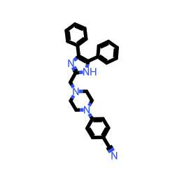 N#Cc1ccc(N2CCN(Cc3nc(-c4ccccc4)c(-c4ccccc4)[nH]3)CC2)cc1